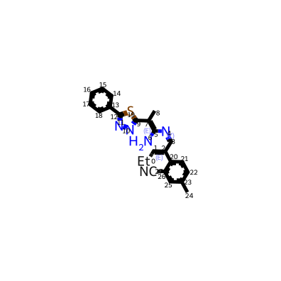 CC/C=C(/C=N\C(N)=C(/C)c1nnc(-c2ccccc2)s1)c1ccc(C)cc1C#N